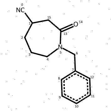 N#CC1CCCN(Cc2ccccc2)C(=O)C1